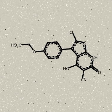 N#Cc1c(O)c2c(-c3ccc(OCC(=O)O)cc3)c(Cl)sc2[nH]c1=O